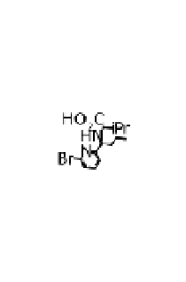 C=CC[C@H](N[C@H](C(=O)O)C(C)C)c1cccc(Br)n1